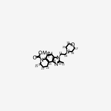 COC(=O)N1c2ccc3c(nc(C)n3CCN3CCOCC3)c2CC[C@@H]1C